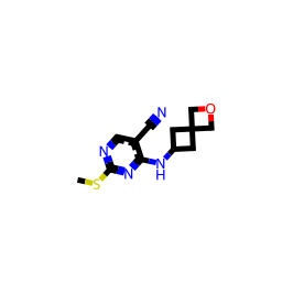 CSc1ncc(C#N)c(NC2CC3(COC3)C2)n1